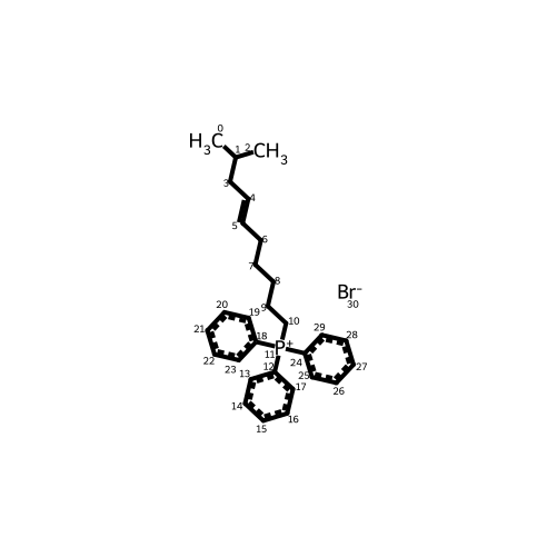 CC(C)CC=CCCCCC[P+](c1ccccc1)(c1ccccc1)c1ccccc1.[Br-]